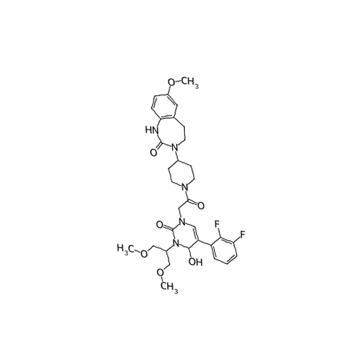 COCC(COC)N1C(=O)N(CC(=O)N2CCC(N3CCc4cc(OC)ccc4NC3=O)CC2)C=C(c2cccc(F)c2F)C1O